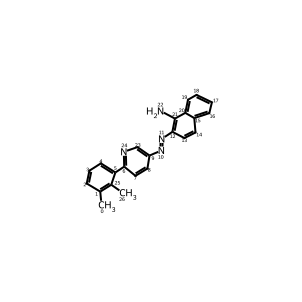 Cc1cccc(-c2ccc(N=Nc3ccc4ccccc4c3N)cn2)c1C